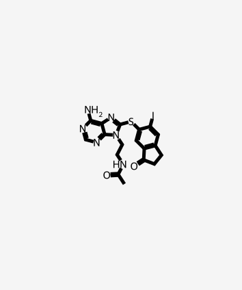 CC(=O)NCCn1c(Sc2cc3c(cc2I)CCC3=O)nc2c(N)ncnc21